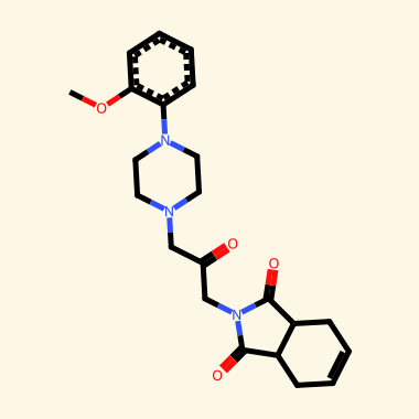 COc1ccccc1N1CCN(CC(=O)CN2C(=O)C3CC=CCC3C2=O)CC1